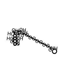 COc1cccc2c1C(=O)c1c(O)c3c(c(O)c1C2=O)C[C@@](O)(C(=O)CO)C[C@@H]3OC1CC(NC(=O)CCOCCOCCOCCOCCOCCOCCOCCC(=O)NC2CCCCCCCC2)C(O)C(C)O1